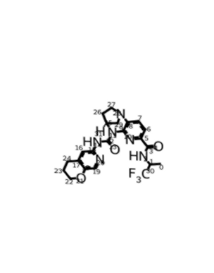 CC(NC(=O)c1ccc2c(n1)N(C(=O)Nc1cc3c(cn1)OCCC3)[C@H]1CCN2C1)C(F)(F)F